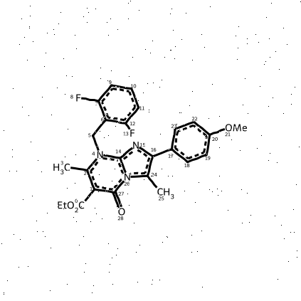 CCOC(=O)c1c(C)n(Cc2c(F)cccc2F)c2nc(-c3ccc(OC)cc3)c(C)n2c1=O